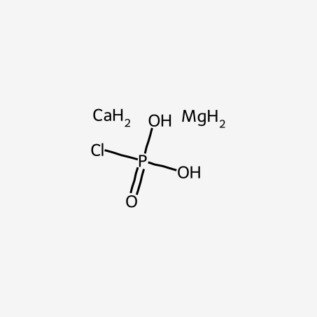 O=P(O)(O)Cl.[CaH2].[MgH2]